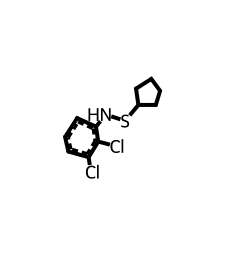 Clc1cccc(NSC2CCCC2)c1Cl